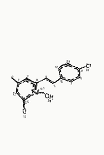 Cc1cc(C=Cc2ccc(Cl)cc2)n(O)c(=O)c1